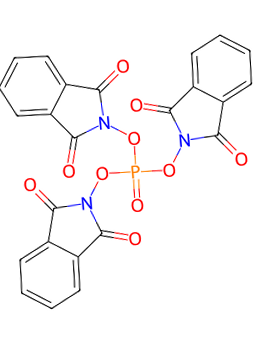 O=C1c2ccccc2C(=O)N1OP(=O)(ON1C(=O)c2ccccc2C1=O)ON1C(=O)c2ccccc2C1=O